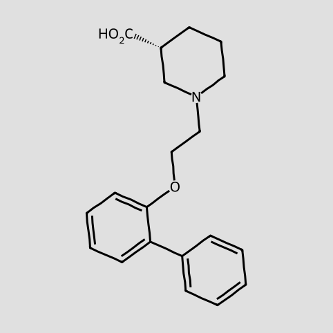 O=C(O)[C@@H]1CCCN(CCOc2ccccc2-c2ccccc2)C1